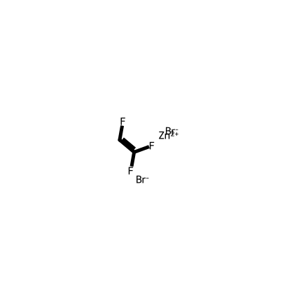 FC=C(F)F.[Br-].[Br-].[Zn+2]